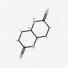 O=C1CCC2OC(=O)CCC2O1